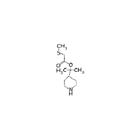 CSCC(=O)OC(C)(C)C1CCNCC1